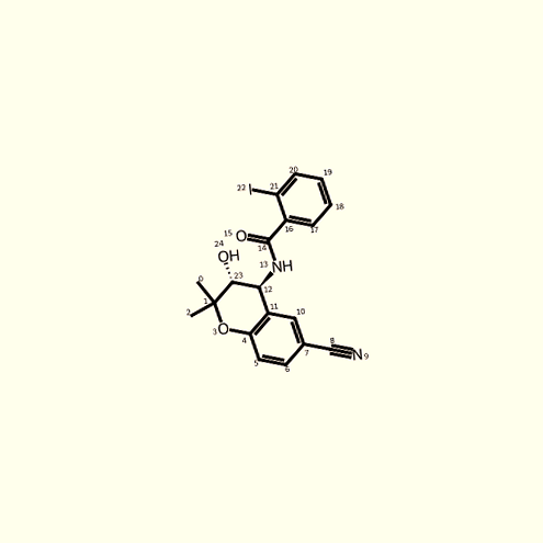 CC1(C)Oc2ccc(C#N)cc2[C@H](NC(=O)c2ccccc2I)[C@H]1O